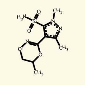 Cc1nn(C)c(S(N)(=O)=O)c1C1=NOCC(C)O1